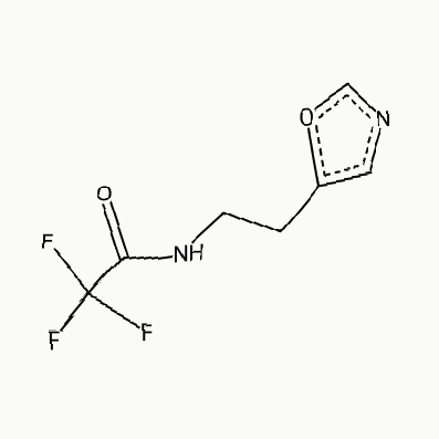 O=C(NCCc1cnco1)C(F)(F)F